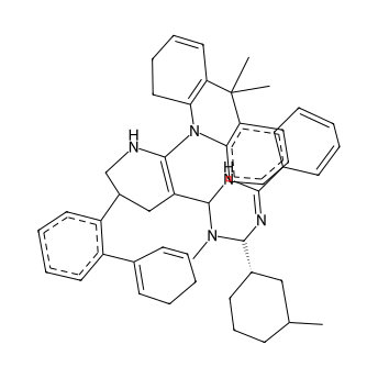 CC1CCC[C@H](C2N=C(C3C=CC=CC3)NC(C3=C(N4C5=C(C=CCC5)C(C)(C)c5ccccc54)NCC(c4ccccc4C4=CCCC=C4)C3)N2C)C1